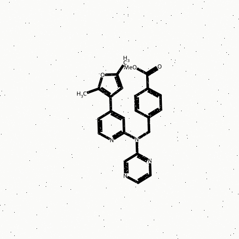 COC(=O)c1ccc(CN(c2cnccn2)c2cc(-c3cc(C)oc3C)ccn2)cc1